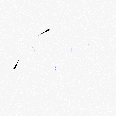 CN(c1cccnn1)C1C[C@]2(C)CC[C@](C)(C1)N2